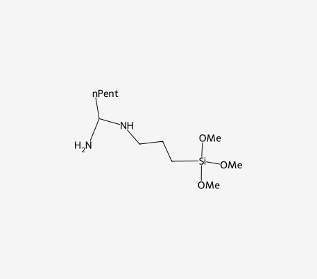 CCCCCC(N)NCCC[Si](OC)(OC)OC